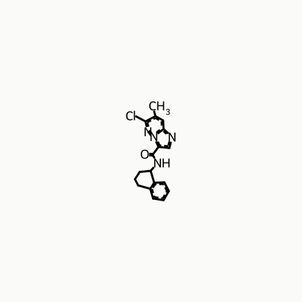 Cc1cc2ncc(C(=O)NC3CCCc4ccccc43)n2nc1Cl